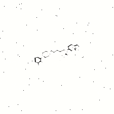 NC(=O)N(CCCCCN1CCN(c2cccc(Cl)c2Cl)CC1)c1ccc2ccnn2c1